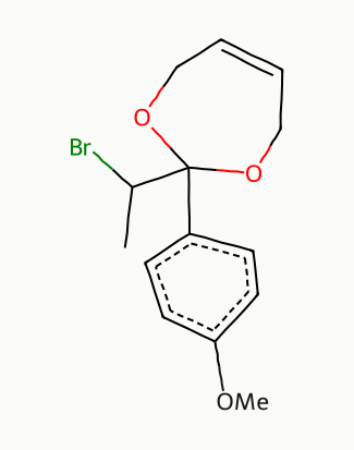 COc1ccc(C2(C(C)Br)OCC=CCO2)cc1